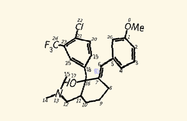 COc1cccc(/C=C2\CCCC(CN(C)C)C2(O)c2ccc(Cl)c(C(F)(F)F)c2)c1